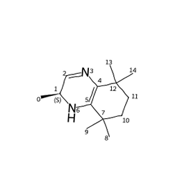 C[C@H]1C=NC2=C(N1)C(C)(C)CCC2(C)C